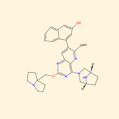 COc1nc2c(N3C[C@H]4CC[C@@H](C3)N4)nc(OCC34CCCN3CCC4)nc2cc1-c1cc(O)cc2ccccc12